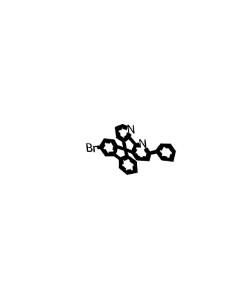 Brc1ccc2c(c1)-c1ccccc1C21c2cccnc2-c2nc(-c3ccccc3)ccc21